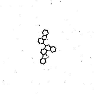 c1ccc2c(c1)cc(-c1cccc3c1sc1ccccc13)c1ccc3c4ccccc4oc3c12